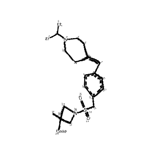 CCC(CC)N1CCC(=Cc2ccc(CS(=O)(=O)N3CC(C)(OC)C3)cc2)CC1